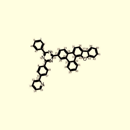 c1ccc(-c2nc(-c3ccc(-c4ccccn4)cc3)nc(-c3ccc4c(c3)c3ccccc3c3c4ccc4c5ccccc5oc43)n2)cc1